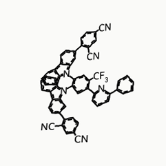 N#Cc1ccc(-c2ccc3c4ccccc4n(-c4cc(-c5cccc(-c6ccccc6)n5)c(C(F)(F)F)cc4-n4c5ccccc5c5ccc(-c6ccc(C#N)cc6C#N)cc54)c3c2)c(C#N)c1